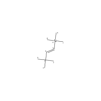 CC(C)(C)C=C[Si](C)(C)C